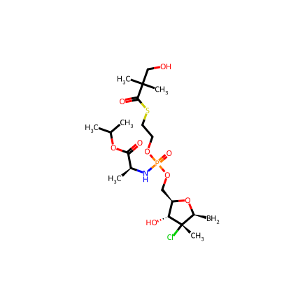 B[C@@H]1O[C@H](COP(=O)(N[C@@H](C)C(=O)OC(C)C)OCCSC(=O)C(C)(C)CO)[C@@H](O)[C@@]1(C)Cl